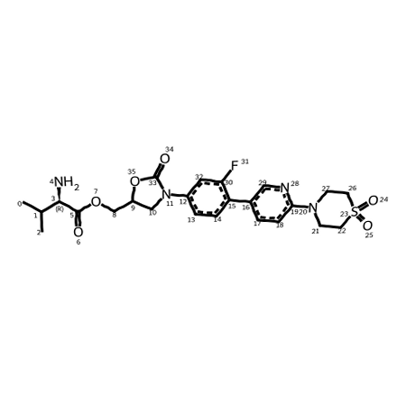 CC(C)[C@@H](N)C(=O)OCC1CN(c2ccc(-c3ccc(N4CCS(=O)(=O)CC4)nc3)c(F)c2)C(=O)O1